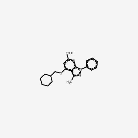 Cc1nn(-c2ccccc2)c2nc(C(=O)O)cc(OCC3CCCCC3)c12